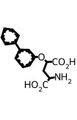 NC(CC(Oc1cccc(-c2ccccc2)c1)C(=O)O)C(=O)O